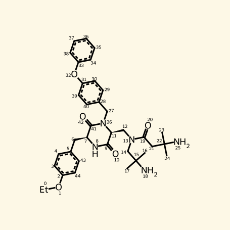 CCOc1ccc(C[C@@H]2NC(=O)[C@H](CN(CC(C)(C)N)C(=O)CC(C)(C)N)N(Cc3ccc(Oc4ccccc4)cc3)C2=O)cc1